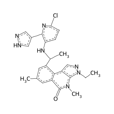 CCn1ncc2c3c(C(C)Nc4ccc(Cl)nc4-c4cn[nH]c4)cc(C)cc3c(=O)n(C)c21